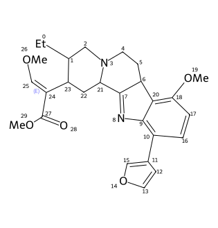 CCC1CN2CCC3C(=Nc4c(-c5ccoc5)ccc(OC)c43)C2CC1/C(=C\OC)C(=O)OC